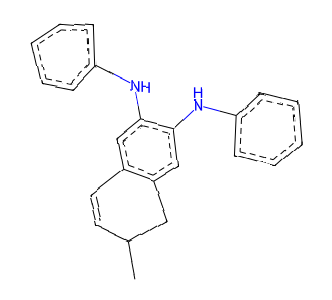 CC1C=Cc2cc(Nc3ccccc3)c(Nc3ccccc3)cc2C1